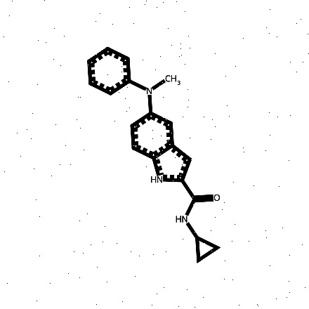 CN(c1ccccc1)c1ccc2[nH]c(C(=O)NC3CC3)cc2c1